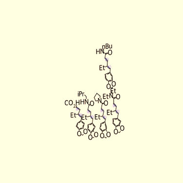 CCC(/C=C/C(=O)N(CC)CC)=C\c1ccc2c(c1)OCO2.CCC(/C=C/C(=O)N1CCCC1)=C\c1ccc2c(c1)OCO2.CCC(/C=C/C(=O)NCC(C)C)=C\c1ccc2c(c1)OCO2.CCC(/C=C/C(=O)O)=C\c1ccc2c(c1)OCO2.CCCCNC(=O)/C=C/C(=C/c1ccc2c(c1)OCO2)CC